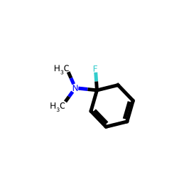 CN(C)C1(F)[CH]C=CC=C1